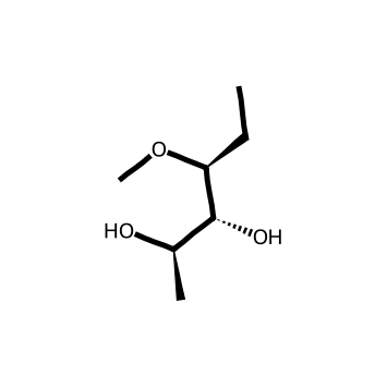 CC[C@H](OC)[C@H](O)[C@@H](C)O